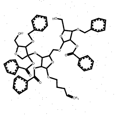 C=CCCCOC1OC(COC2OC(CO)C(OCc3ccccc3)C2OC(=O)c2ccccc2)C(OC2(OC(=O)c3ccccc3)COC(CO)C2OCc2ccccc2)C1OC(=O)c1ccccc1